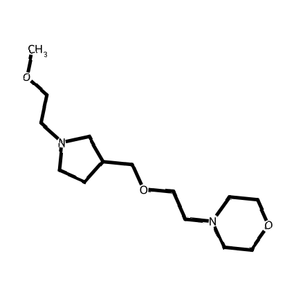 COCCN1CCC(COCCN2CCOCC2)C1